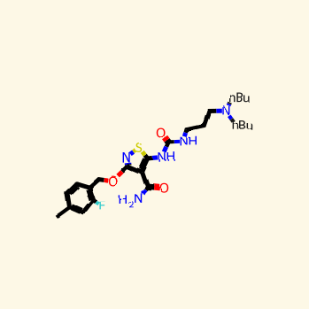 CCCCN(CCCC)CCCNC(=O)Nc1snc(OCc2ccc(C)cc2F)c1C(N)=O